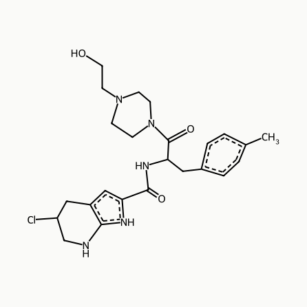 Cc1ccc(CC(NC(=O)c2cc3c([nH]2)NCC(Cl)C3)C(=O)N2CCN(CCO)CC2)cc1